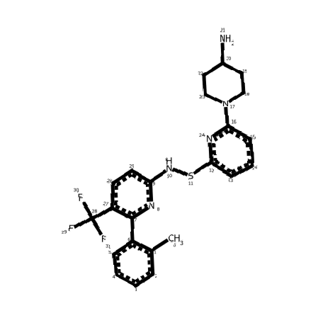 Cc1ccccc1-c1nc(NSc2cccc(N3CCC(N)CC3)n2)ccc1C(F)(F)F